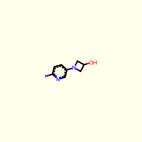 OC1CN(c2ccc(I)nc2)C1